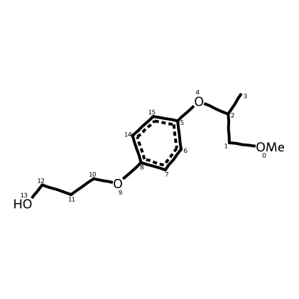 COCC(C)Oc1ccc(OCCCO)cc1